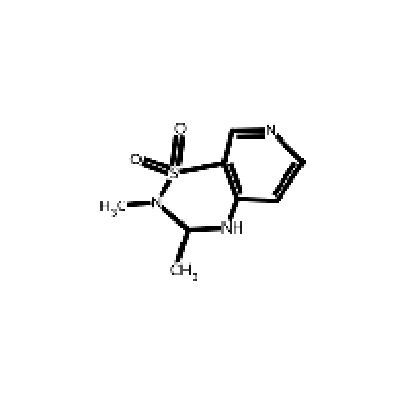 CC1Nc2ccncc2S(=O)(=O)N1C